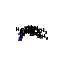 CCC[C@@]1(C)CC[C@@]2(C)[C@H](CC[C@@H]3[C@@H]2[C@H](C)C[C@]2(C)[C@@H](C(C)Cn4cc(C#N)cn4)CC[C@@H]32)C1